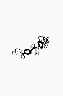 NC(=O)c1ccc(C(=O)Nc2ccc(S(=O)(=O)Cl)cc2)cc1